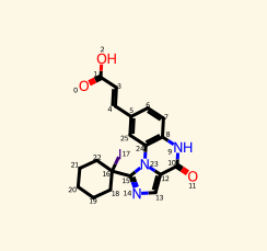 O=C(O)C=Cc1ccc2[nH]c(=O)c3cnc(C4(I)CCCCC4)n3c2c1